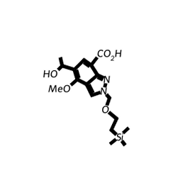 COc1c(C(C)O)cc(C(=O)O)c2nn(COCC[Si](C)(C)C)cc12